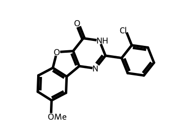 COc1ccc2oc3c(=O)[nH]c(-c4ccccc4Cl)nc3c2c1